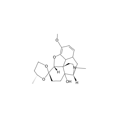 COC1=C2O[C@H]3[C@@]4(CCC5(O)[C@H]6CC(C=C1)C2[C@@]35CCN6C)OCC[C@@H](C)O4